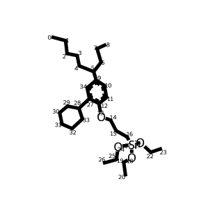 CCCCCC(CCC)c1ccc(OCCC[Si](OCC)(OCC)OCC)c(C2CCCCC2)c1